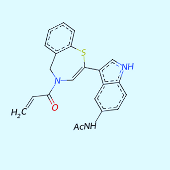 C=CC(=O)N1C=C(c2c[nH]c3ccc(NC(C)=O)cc23)Sc2ccccc2C1